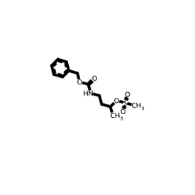 CC(CCNC(=O)OCc1ccccc1)OS(C)(=O)=O